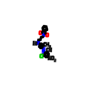 CCN(CCCCN1C(=O)c2ccccc2C1=O)c1ccc(/N=N/c2c(Cl)cc([N+](=O)[O-])cc2C#N)c(C)c1